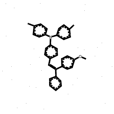 COc1ccc(/C(=C\c2ccc(N(c3ccc(C)cc3)c3ccc(C)cc3)cc2)c2ccccc2)cc1